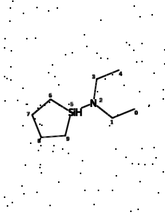 CCN(CC)[SiH]1CCCC1